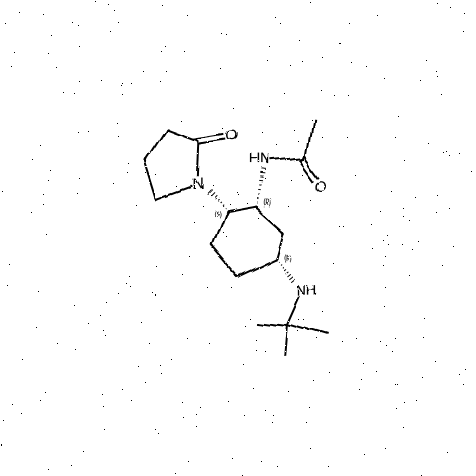 CC(=O)N[C@@H]1C[C@H](NC(C)(C)C)CC[C@@H]1N1CCCC1=O